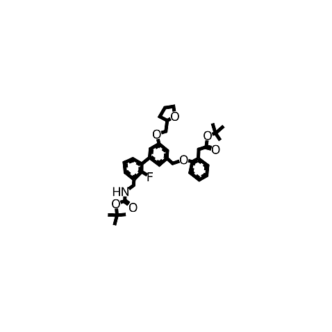 CC(C)(C)OC(=O)Cc1ccccc1OCc1cc(OCC2CCCO2)cc(-c2cccc(CNC(=O)OC(C)(C)C)c2F)c1